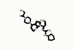 C=C(/N=C(\C=C/N)n1ccc2c(N3CCN(C(=O)CC#N)CC3)cccc21)NC1CCCCC1